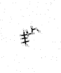 CCOC(CC)NS(=O)(=O)C(F)(F)C(F)(F)C(F)(F)C(F)(F)F